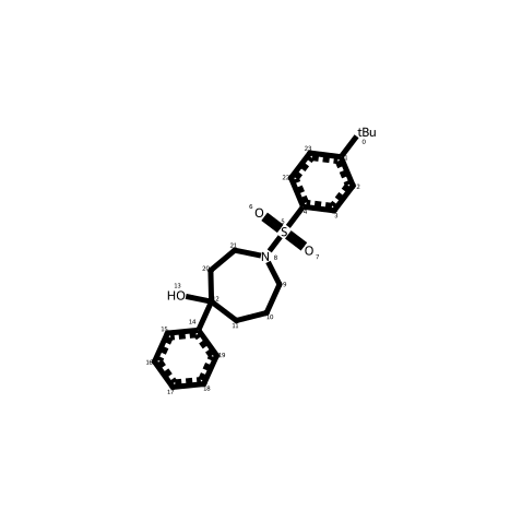 CC(C)(C)c1ccc(S(=O)(=O)N2CCCC(O)(c3ccccc3)CC2)cc1